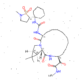 CCCNC(=O)C(=O)[C@@H]1CCCCCCCC[C@H](NC(=O)NC2([C@@H]3CCN(C)S3(=O)=O)CCCCC2)C(=O)N2C[C@H]3[C@@H]([C@H]2C(=O)N1)C3(C)C